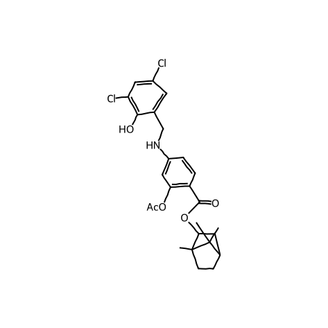 CC(=O)Oc1cc(NCc2cc(Cl)cc(Cl)c2O)ccc1C(=O)OC1CC2CCC1(C)C2(C)C